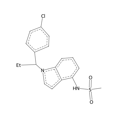 CCC(c1ccc(Cl)cc1)n1ccc2c(NS(C)(=O)=O)cccc21